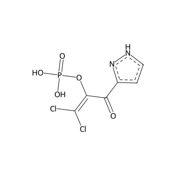 O=C(C(OP(=O)(O)O)=C(Cl)Cl)c1cc[nH]n1